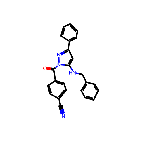 N#Cc1ccc(C(=O)n2nc(-c3ccccc3)cc2NCc2ccccc2)cc1